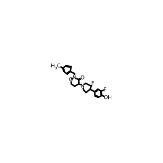 Cc1ccc(CN2OCCC(N3CCC(c4ccc(O)c(F)c4)C(F)C3)C2=O)cc1